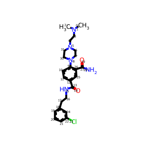 CN(C)CCN1CCN(c2ccc(C(=O)NCCc3cccc(Cl)c3)cc2C(N)=O)CC1